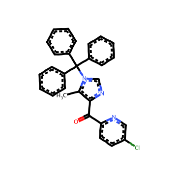 Cc1c(C(=O)c2ccc(Cl)cn2)ncn1C(c1ccccc1)(c1ccccc1)c1ccccc1